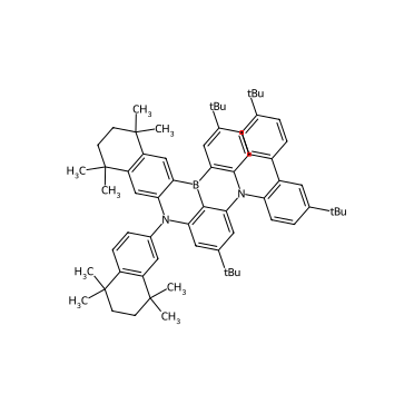 CC(C)(C)c1ccc(-c2cc(C(C)(C)C)ccc2N2c3ccc(C(C)(C)C)cc3B3c4cc5c(cc4N(c4ccc6c(c4)C(C)(C)CCC6(C)C)c4cc(C(C)(C)C)cc2c43)C(C)(C)CCC5(C)C)cc1